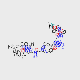 CN1CCN(CCN(Cc2ccccc2O)C(=O)NCCCN(N)/C=C(\N)COc2ccc(CN(CCCCCC(=O)NCCCCC(NC(=O)NC(CCC(=O)O)C(=O)O)C(=O)O)Cc3nccn3CC(=O)O)cc2)C1c1ccccc1OF